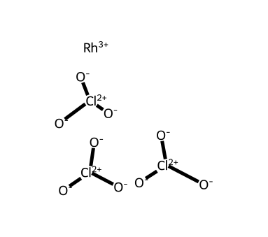 [O-][Cl+2]([O-])[O-].[O-][Cl+2]([O-])[O-].[O-][Cl+2]([O-])[O-].[Rh+3]